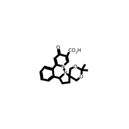 CC1(C)OCC2(CCC3c4ccccc4-c4cc(=O)c(C(=O)O)cn4N32)CO1